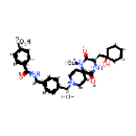 CCCCN1C(=O)[C@@H](CC2(O)CCCCC2)NC(=O)C12CCN(Cc1ccc(CNC(=O)c3ccc(C(=O)O)cc3)cc1)CC2.Cl